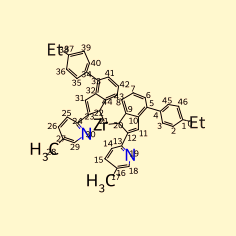 CCc1ccc(-c2cccc3c2C=C(c2ccc(C)cn2)[CH]3[Zr][CH]2C(c3ccc(C)cn3)=Cc3c(-c4ccc(CC)cc4)cccc32)cc1